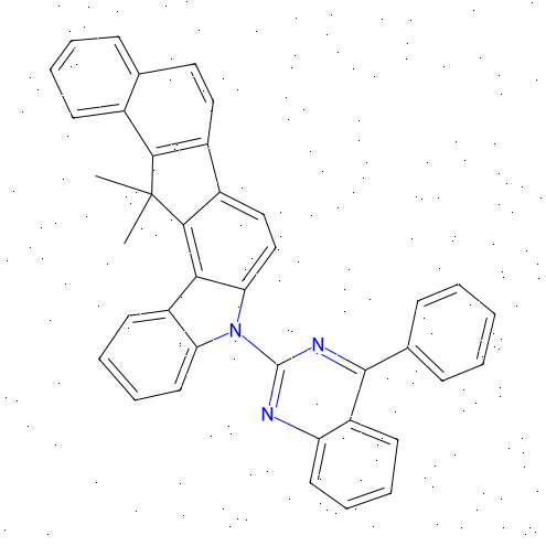 CC1(C)c2c(ccc3ccccc23)-c2ccc3c(c21)c1ccccc1n3-c1nc(-c2ccccc2)c2ccccc2n1